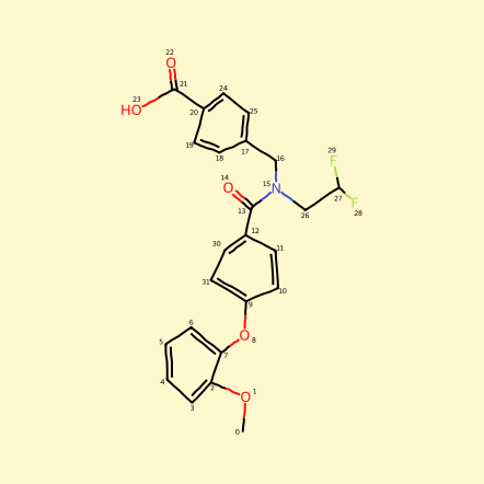 COc1ccccc1Oc1ccc(C(=O)N(Cc2ccc(C(=O)O)cc2)CC(F)F)cc1